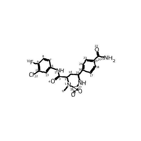 CN1C(C(=O)Nc2ccc(F)c(Cl)c2)CC(c2ccc(C(N)=O)cc2)NS1(=O)=O